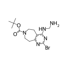 CC(C)(C)OC(=O)N1CCc2nc(Br)nc(NCN)c2CC1